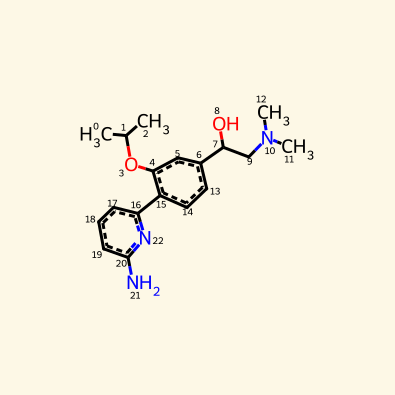 CC(C)Oc1cc(C(O)CN(C)C)ccc1-c1cccc(N)n1